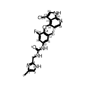 Cc1c[nH]c(CNC(=O)Nc2cc(F)c(Oc3ccnc4[nH]cc(Cl)c34)c(F)c2)n1